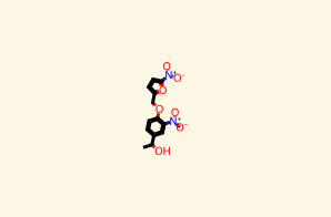 CC(O)c1ccc(OCc2ccc([N+](=O)[O-])o2)c([N+](=O)[O-])c1